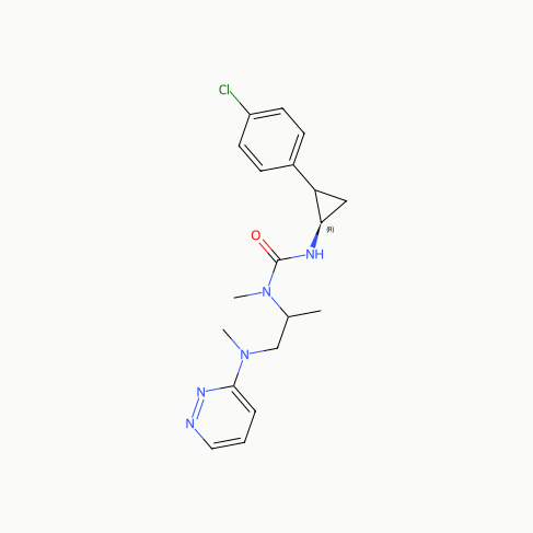 CC(CN(C)c1cccnn1)N(C)C(=O)N[C@@H]1CC1c1ccc(Cl)cc1